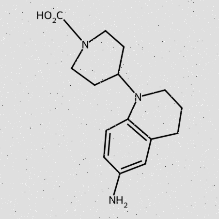 Nc1ccc2c(c1)CCCN2C1CCN(C(=O)O)CC1